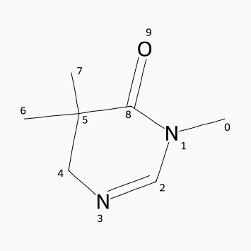 CN1C=NCC(C)(C)C1=O